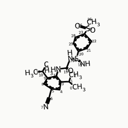 CC(C)c1cc(C#N)cc(C(C)C)c1NC(=O)N[S@](=N)c1ccc(S(C)(=O)=O)cc1